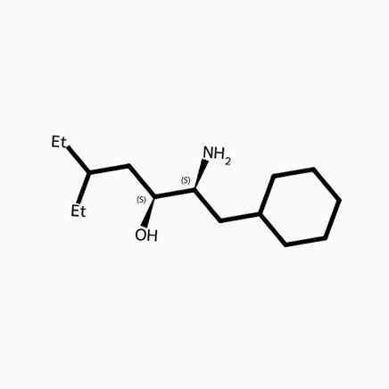 CCC(CC)C[C@H](O)[C@@H](N)CC1CCCCC1